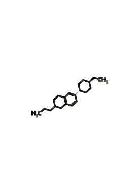 CCCC1CCc2cc([C@H]3CC[C@H](CC)CC3)ccc2C1